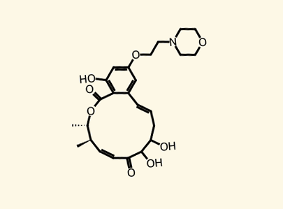 C[C@@H]1/C=C\C(=O)C(O)C(O)C/C=C/c2cc(OCCN3CCOCC3)cc(O)c2C(=O)O[C@H]1C